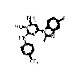 Cc1nc2cc(F)ccc2n1-c1cc(N)[n+](O)c(Nc2ccc(C(F)(F)F)cc2)n1